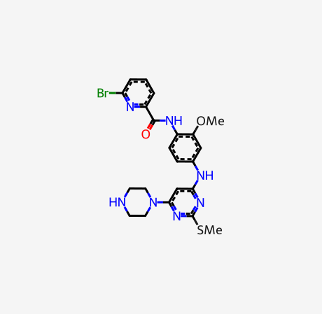 COc1cc(Nc2cc(N3CCNCC3)nc(SC)n2)ccc1NC(=O)c1cccc(Br)n1